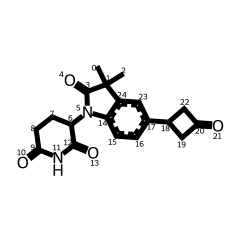 CC1(C)C(=O)N(C2CCC(=O)NC2=O)c2ccc(C3CC(=O)C3)cc21